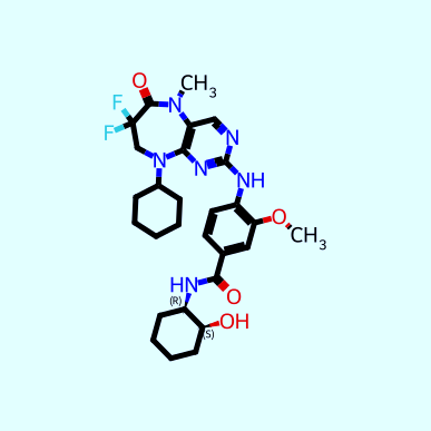 COc1cc(C(=O)N[C@@H]2CCCC[C@@H]2O)ccc1Nc1ncc2c(n1)N(C1CCCCC1)CC(F)(F)C(=O)N2C